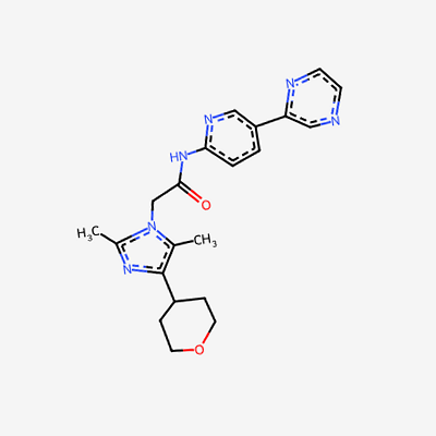 Cc1nc(C2CCOCC2)c(C)n1CC(=O)Nc1ccc(-c2cnccn2)cn1